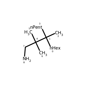 CCCCCCC(C)(CCCCC)C(C)(C)CN